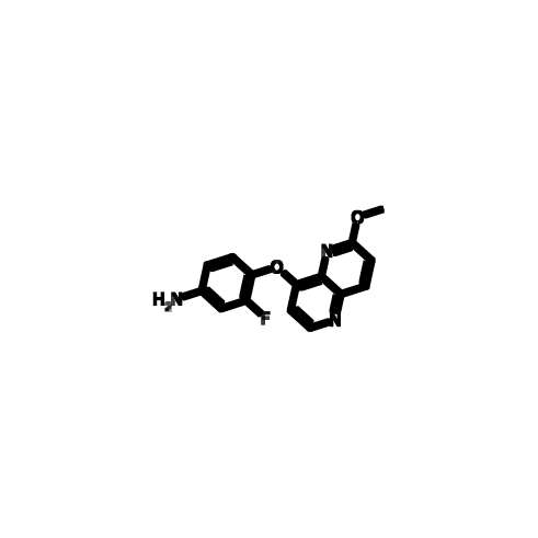 COc1ccc2nccc(Oc3ccc(N)cc3F)c2n1